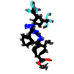 COC(=O)c1ccc(-c2nnc(Nc3cc(C(F)(F)F)cc(C(F)(F)F)c3)c3ccccc23)c(C)c1